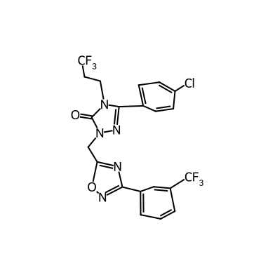 O=c1n(Cc2nc(-c3cccc(C(F)(F)F)c3)no2)nc(-c2ccc(Cl)cc2)n1CCC(F)(F)F